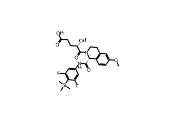 COc1ccc2c(c1)CCN(C(=O)[C@@H](O)CCC(=O)O)[C@H]2C(=O)Nc1cc(F)c([Si](C)(C)C)c(F)c1